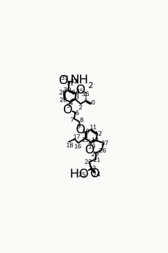 C=CCc1c(OCCCOc2ccc3c(c2CCC)OC(CCC(=O)O)CC3)ccc(C(N)=O)c1OC